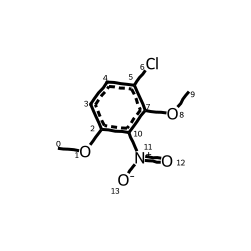 COc1ccc(Cl)c(OC)c1[N+](=O)[O-]